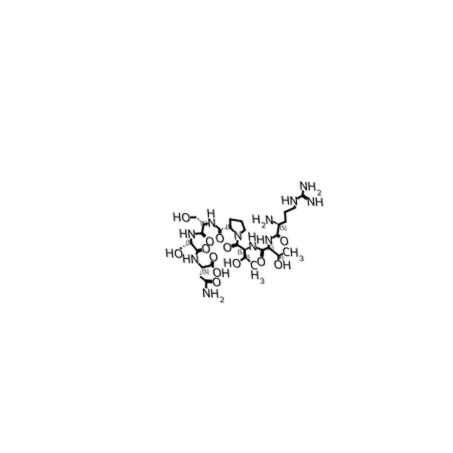 C[C@@H](O)[C@H](NC(=O)[C@@H](N)CCCNC(=N)N)C(=O)N[C@H](C(=O)N1CCC[C@H]1C(=O)N[C@@H](CO)C(=O)N[C@@H](CO)C(=O)N[C@@H](CC(N)=O)C(=O)O)[C@@H](C)O